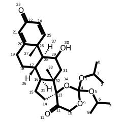 CC(C)OC1(OC(C)C)OCC(=O)[C@]2(CC[C@H]3[C@@H]4CCC5=CC(=O)C=C[C@]5(C)[C@H]4C(O)C[C@@]32C)O1